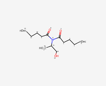 CCCCCCCCCCCCCC(=O)N(C(=O)CCCCCCCCCCCCC)C(CO)C(=O)O